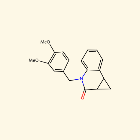 COc1ccc(CN2C(=O)C3CC3c3ccccc32)cc1OC